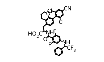 N#Cc1cc(Cl)c(-c2ccc(CC(NC(=O)c3c(F)cc(N[C@H](c4ccccc4)C(F)(F)F)cc3F)C(=O)O)c3c2OCCC3)c(Cl)c1